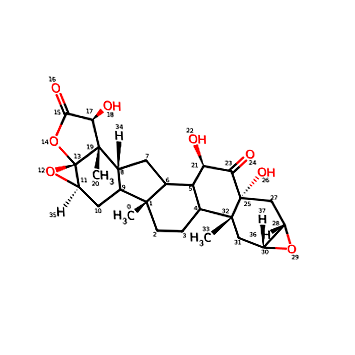 C[C@]12CCC3C(C1C[C@@H]1C2C[C@H]2O[C@]24OC(=O)[C@@H](O)[C@]14C)[C@@H](O)C(=O)[C@@]1(O)C[C@@H]2O[C@@H]2C[C@]31C